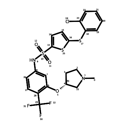 CN1CC[C@@H](Oc2cc(NS(=O)(=O)c3ccc(Sc4ccccc4Cl)s3)ccc2C(F)(F)F)C1